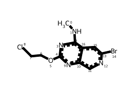 CNc1nc(OCCCl)nc2cnc(Br)cc12